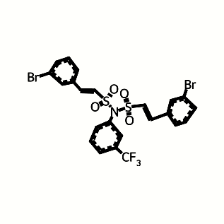 O=S(=O)(/C=C/c1cccc(Br)c1)N(c1cccc(C(F)(F)F)c1)S(=O)(=O)/C=C/c1cccc(Br)c1